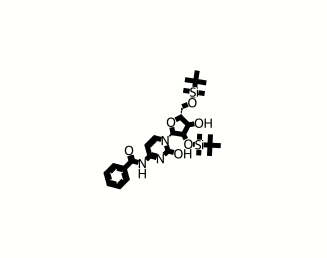 CC(C)(C)[Si](C)(C)OC[C@H]1O[C@@H](N2C=CC(NC(=O)c3ccccc3)=NC2O)C(O[Si](C)(C)C(C)(C)C)C1O